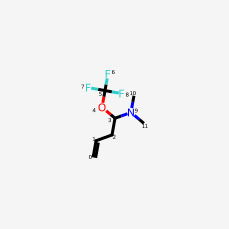 C=CCC(OC(F)(F)F)N(C)C